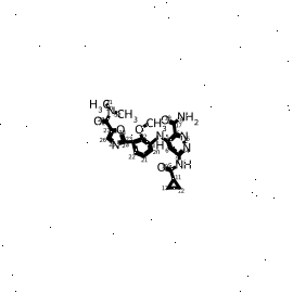 COc1c(Nc2cc(NC(=O)C3CC3)nnc2C(N)=O)cccc1-c1ncc(C(=O)N(C)C)o1